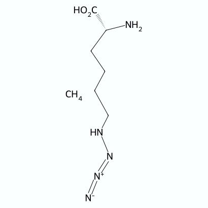 C.[N-]=[N+]=NNCCCC[C@@H](N)C(=O)O